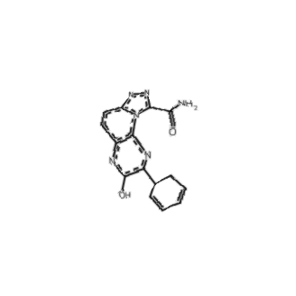 NC(=O)c1nnc2ccc3nc(O)c(C4C=CC=CC4)nc3n12